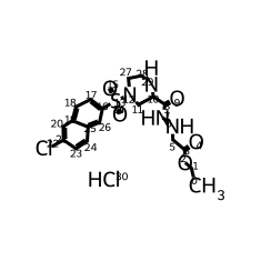 CCOC(=O)CNNC(=O)C1CN(S(=O)(=O)c2ccc3cc(Cl)ccc3c2)CCN1.Cl